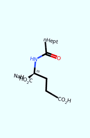 CCCCCCCC(=O)N[C@@H](CCC(=O)O)C(=O)O.[NaH]